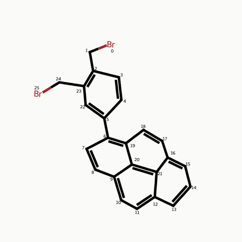 BrCc1ccc(-c2ccc3ccc4cccc5ccc2c3c45)cc1CBr